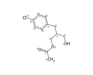 CC(=O)OCC(CO)Cc1ccc(Cl)cc1